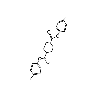 Cc1ccc(OC(=O)C2CCC(C(=O)Oc3ccc(C)cc3)CC2)cc1